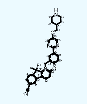 CC1(F)c2ccc(C#N)cc2-c2ccc(=O)n(Cc3cccc(-c4ncc(OCC5CCNCC5)cn4)c3)c21